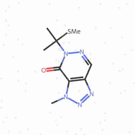 CSC(C)(C)n1ncc2nnn(C)c2c1=O